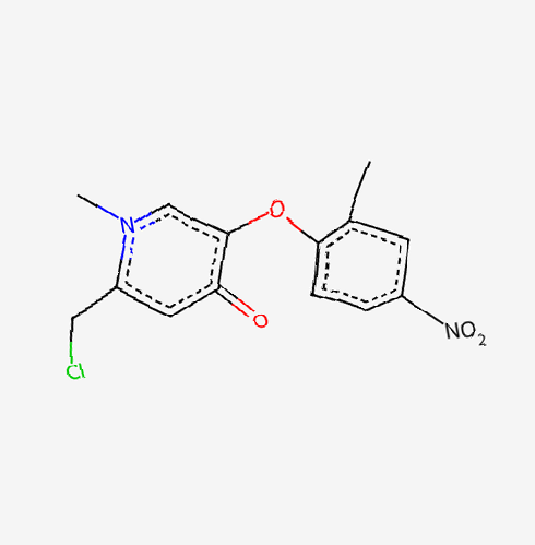 Cc1cc([N+](=O)[O-])ccc1Oc1cn(C)c(CCl)cc1=O